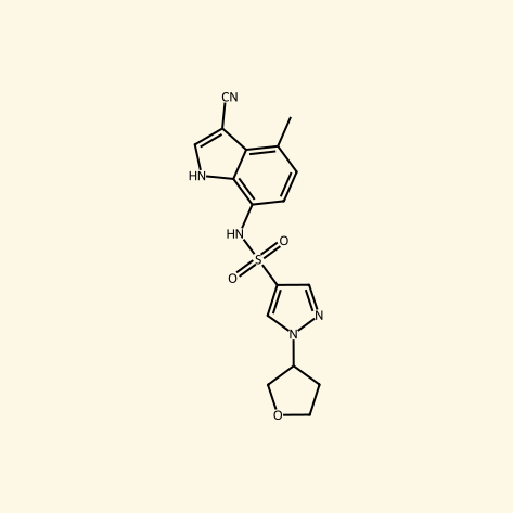 Cc1ccc(NS(=O)(=O)c2cnn(C3CCOC3)c2)c2[nH]cc(C#N)c12